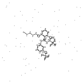 CCCCCOc1ccccc1N(Cc1cccc(OC(F)(F)F)c1)C[C@@H](O)C(F)(F)F